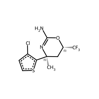 C[C@@]1(c2sccc2Cl)C[C@@H](C(F)(F)F)OC(N)=N1